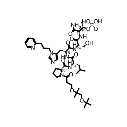 CC(C)C[C@H](NC(=O)[C@@H]1CCCN1C(=O)CCOC(C)(C)COC(C)(C)C)C(=O)N[C@@H](Cc1cncn1CCCc1ccccn1)C(=O)N[C@@H](CO)C(=O)N[C@H](C(N)=O)[C@@H](C)OP(=O)(O)O